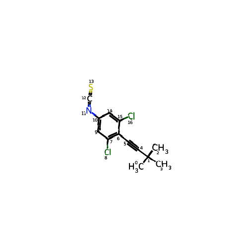 CC(C)(C)C#Cc1c(Cl)cc(N=C=S)cc1Cl